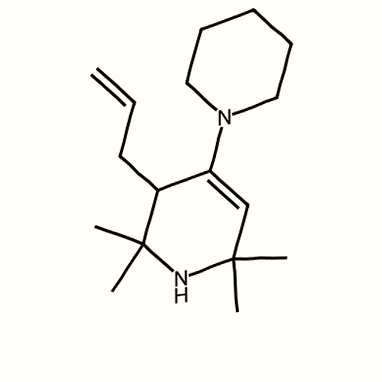 C=CCC1C(N2CCCCC2)=CC(C)(C)NC1(C)C